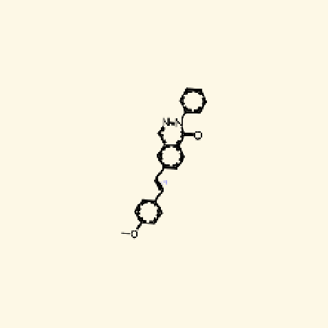 COc1ccc(/C=C/c2ccc3c(=O)n(-c4ccccc4)ncc3c2)cc1